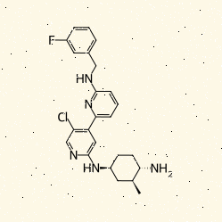 C[C@H]1C[C@@H](Nc2cc(-c3cccc(NCc4cccc(F)c4)n3)c(Cl)cn2)CC[C@@H]1N